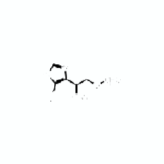 CSC(COC=O)c1ncsc1Br